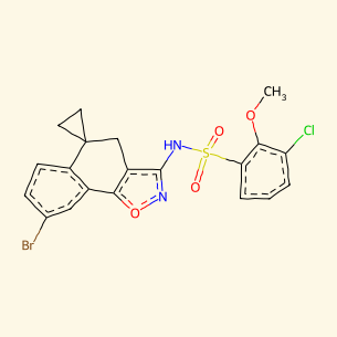 COc1c(Cl)cccc1S(=O)(=O)Nc1noc2c1CC1(CC1)c1ccc(Br)cc1-2